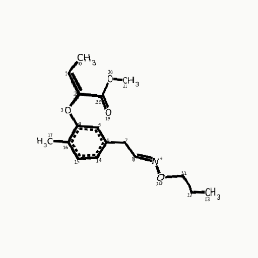 CC=C(Oc1cc(CC=NOCCC)ccc1C)C(=O)OC